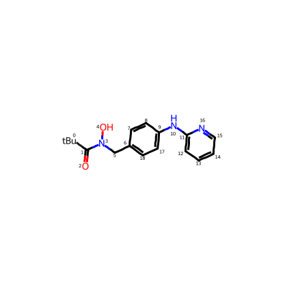 CC(C)(C)C(=O)N(O)Cc1ccc(Nc2ccccn2)cc1